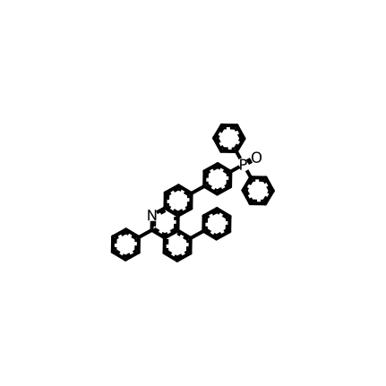 O=P(c1ccccc1)(c1ccccc1)c1ccc(-c2ccc3nc(-c4ccccc4)c4cccc(-c5ccccc5)c4c3c2)cc1